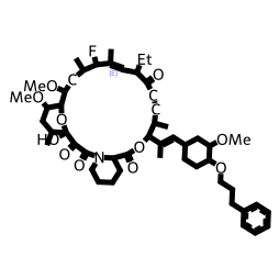 CCC1/C=C(\C)C(F)C(C)CC(OC)C2OC(O)(C(=O)C(=O)N3CCCCC3C(=O)OC(C(C)=CC3CCC(OCCCc4ccccc4)C(OC)C3)C(C)CCC1=O)C(C)CC2OC